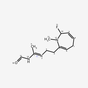 C/C(=N\CCC1=CCC=CC(F)N1C)NC=O